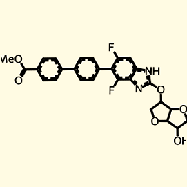 COC(=O)c1ccc(-c2ccc(-c3c(F)cc4[nH]c(OC5COC6C(O)COC56)nc4c3F)cc2)cc1